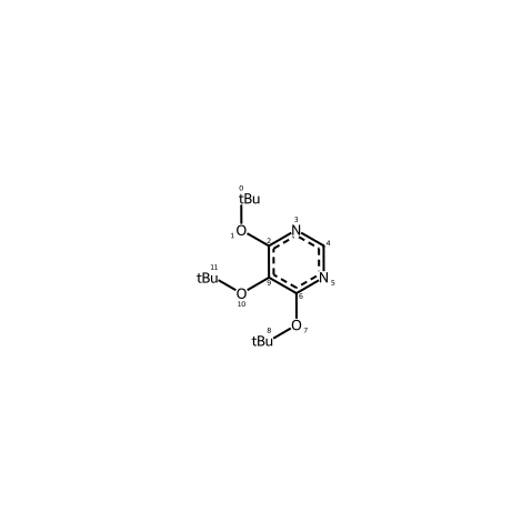 CC(C)(C)Oc1ncnc(OC(C)(C)C)c1OC(C)(C)C